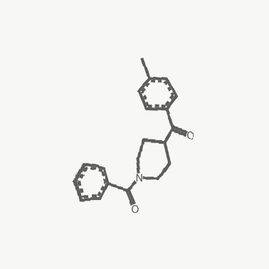 Cc1ccc(C(=O)C2CCN(C(=O)c3ccccc3)CC2)cc1